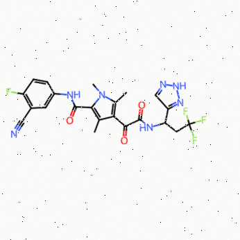 Cc1c(C(=O)C(=O)NC(CC(F)(F)F)c2cn[nH]n2)c(C)n(C)c1C(=O)Nc1ccc(F)c(C#N)c1